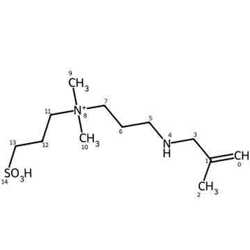 C=C(C)CNCCC[N+](C)(C)CCCS(=O)(=O)O